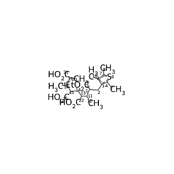 CCOC(=O)C(Cc1c(C)sc(C)c1C)C(C)C(CC(C(=O)O)C(C)C(C)C(=O)O)C(=O)O